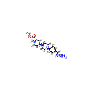 CCOC(=O)CN1CCC(N2CCN(c3ccc(C=NN)cc3)CC2)CC1